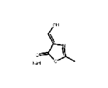 CC1=NC(=CO)C(=O)O1.[NaH]